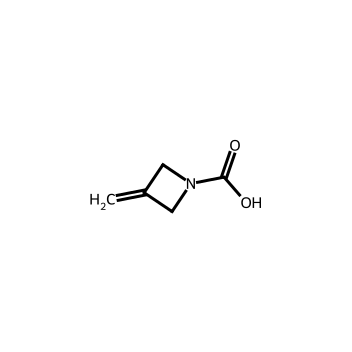 C=C1CN(C(=O)O)C1